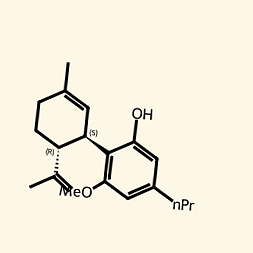 C=C(C)[C@@H]1CCC(C)=C[C@H]1c1c(O)cc(CCC)cc1OC